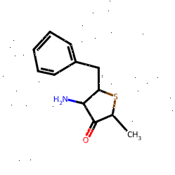 CC1SC(Cc2ccccc2)C(N)C1=O